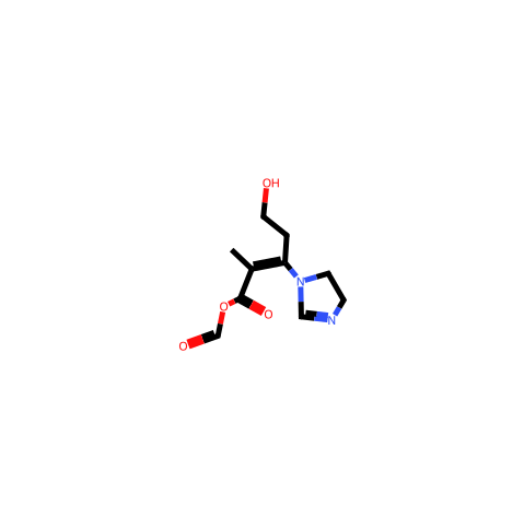 CC(C(=O)OC=O)=C(CCO)N1C=NCC1